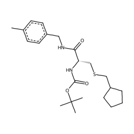 Cc1ccc(CNC(=O)[C@H](CSCC2CCCC2)NC(=O)OC(C)(C)C)cc1